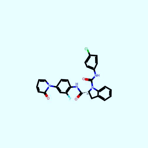 O=C(Nc1ccc(-n2ccccc2=O)cc1F)[C@H]1Cc2ccccc2N1C(=O)Nc1ccc(Cl)cc1